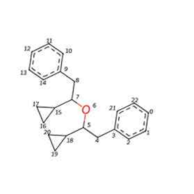 c1ccc(CC(OC(Cc2ccccc2)C2CC2)C2CC2)cc1